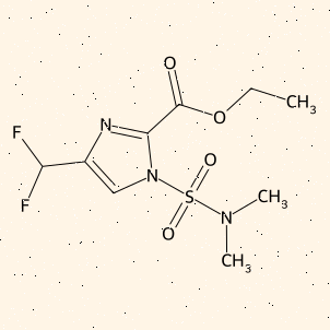 CCOC(=O)c1nc(C(F)F)cn1S(=O)(=O)N(C)C